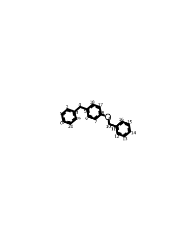 [c]1ccc(Cc2ccc(OCc3ccccc3)cc2)cc1